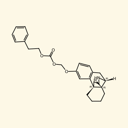 O=C(OCCc1ccccc1)OCOc1ccc2c(c1)[C@@]13CCCC[C@H]1[C@@H](C2)NCC3